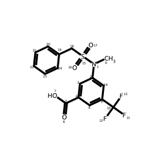 CN(c1cc(C(=O)O)cc(C(F)(F)F)c1)S(=O)(=O)Cc1ccccc1